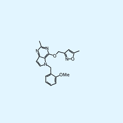 COc1ccccc1Cn1ccc2nc(C)nc(OCc3cc(C)on3)c21